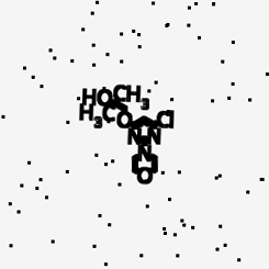 CC(C)(O)COc1cc(Cl)nc(N2CCOCC2)n1